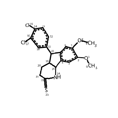 COc1cc2c(cc1OC)C(c1ccc(Cl)c(Cl)c1)C1CCC(=S)NC21